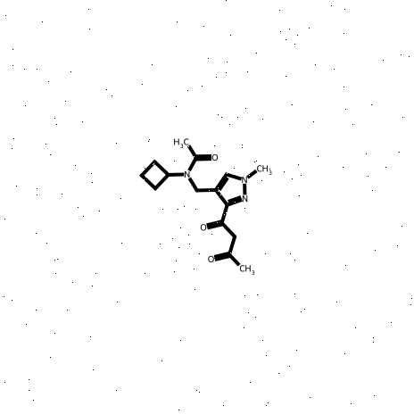 CC(=O)CC(=O)c1nn(C)cc1CN(C(C)=O)C1CCC1